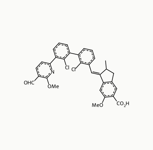 COc1cc2c(cc1C(=O)O)CC(C)C2=Cc1cccc(-c2cccc(-c3ccc(C=O)c(OC)n3)c2Cl)c1Cl